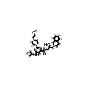 COCCN1CCN(c2nc(NC3COC3)cc(C(=O)NC[C@H](O)CN3CCc4ccccc4C3)n2)CC1